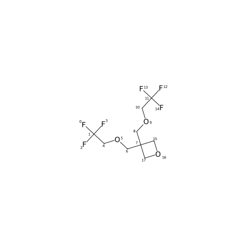 FC(F)(F)COCC1(COCC(F)(F)F)COC1